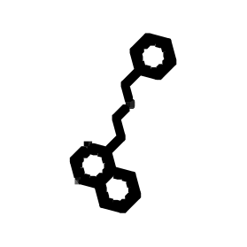 c1ccc(COCCc2ncnc3ccccc23)cc1